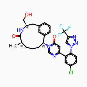 C[C@@H]1CCC[C@H](n2cnc(-c3cc(Cl)ccc3-n3cc(C(F)(F)F)nn3)cc2=O)c2cccc(c2)C[C@H](CO)NC1=O